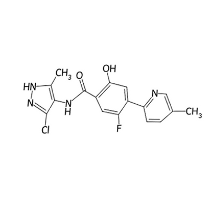 Cc1ccc(-c2cc(O)c(C(=O)Nc3c(Cl)n[nH]c3C)cc2F)nc1